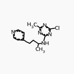 Cc1nc(Cl)nc(NC(C)CCc2ccncc2)n1